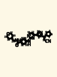 N#CCC(C1CCCC1)n1cc(-c2ccnc(Nc3ccc(C(=O)NCC4CCOCC4)cc3)n2)cn1